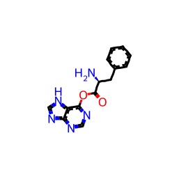 N[C@@H](Cc1ccccc1)C(=O)Oc1ncnc2nc[nH]c12